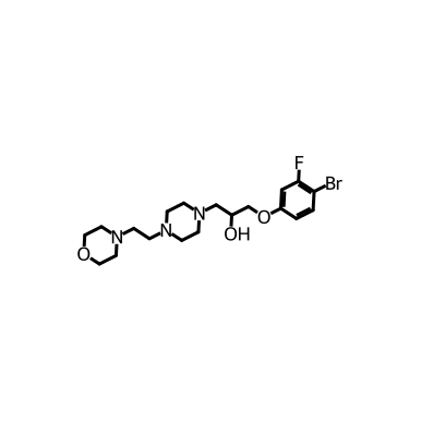 OC(COc1ccc(Br)c(F)c1)CN1CCN(CCN2CCOCC2)CC1